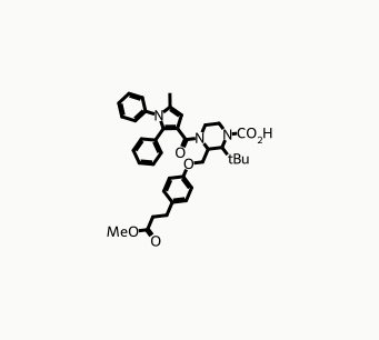 COC(=O)CCc1ccc(OCC2C(C(C)(C)C)N(C(=O)O)CCN2C(=O)c2cc(C)n(-c3ccccc3)c2-c2ccccc2)cc1